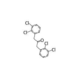 O=C(Cc1cccc(Cl)c1Cl)Cc1cccc(Cl)c1Cl